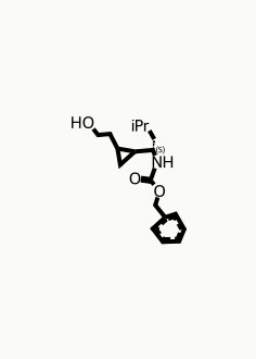 CC(C)C[C@H](NC(=O)OCc1ccccc1)C1CC1CCO